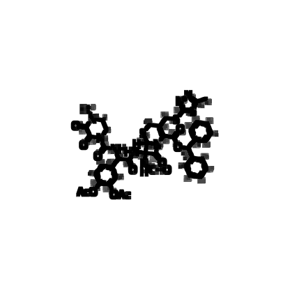 CCN1CCN(C(=O)NC(C(=O)N[C@]2(NC=O)C(=O)N3C(C(=O)OC(c4ccccc4)c4ccccc4)=C(CSc4nnc(C)s4)CS[C@H]32)c2ccc(OC(C)=O)c(OC(C)=O)c2)C(=O)C1=O